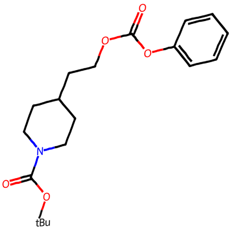 CC(C)(C)OC(=O)N1CCC(CCOC(=O)Oc2ccccc2)CC1